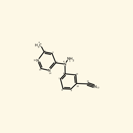 Cc1cc(N(N)c2cccc(C#N)c2)ncn1